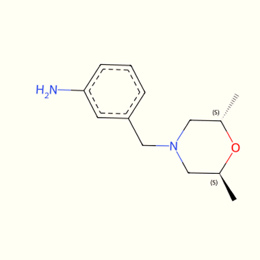 C[C@H]1CN(Cc2cccc(N)c2)C[C@H](C)O1